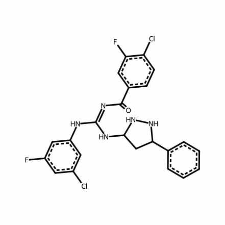 O=C(/N=C(/Nc1cc(F)cc(Cl)c1)NC1CC(c2ccccc2)NN1)c1ccc(Cl)c(F)c1